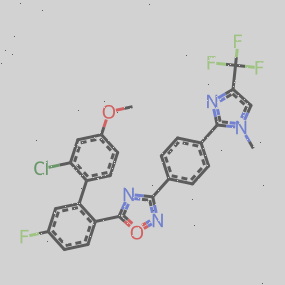 COc1ccc(-c2cc(F)ccc2-c2nc(-c3ccc(-c4nc(C(F)(F)F)cn4C)cc3)no2)c(Cl)c1